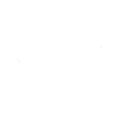 COc1cccc2cc(-c3ccncc3)oc12